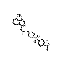 CC(CN1CCN(S(=O)(=O)c2ccc3c(c2)OCN3)CC1)Nc1ncnc2c(C(F)(F)F)cccc12